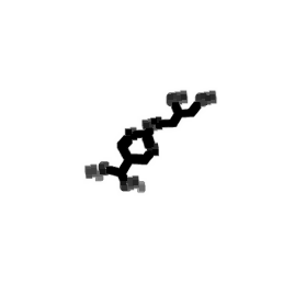 CC(C)c1cnc(NCC(O)CO)nc1